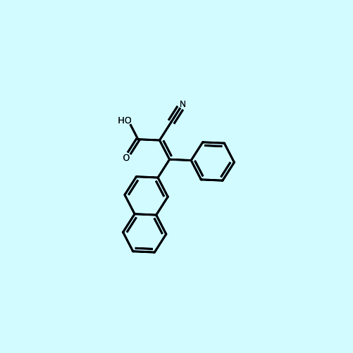 N#CC(C(=O)O)=C(c1ccccc1)c1ccc2ccccc2c1